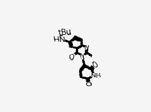 Cc1nc2ccc(NC(C)(C)C)cc2c(=O)n1C1CCC(=O)NC1=O